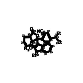 CCN(CC)c1ccc(C2(c3c(C)n(CC)c4ccccc34)OC(=O)c3cccnc32)c(C#N)c1